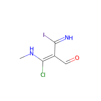 CN/C(Cl)=C(/C=O)C(=N)I